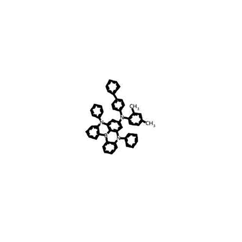 Cc1ccc(N(c2ccc(-c3ccccc3)cc2)c2cc3c4c(c2)N(c2ccccc2)c2ccccc2B4c2ccccc2N3c2ccccc2)c(C)c1